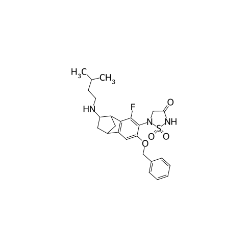 CC(C)CCNC1CC2CC1c1c2cc(OCc2ccccc2)c(N2CC(=O)NS2(=O)=O)c1F